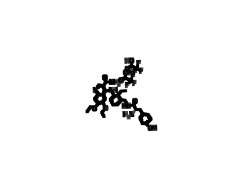 CCOc1cc2ncc(C(N)=O)c(Nc3cccc(CNC(=O)[C@@H](N)Cc4ccc(O)cc4)c3CC)c2cc1OCC.O=C(O)C(F)(F)F.O=C(O)C(F)(F)F